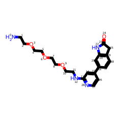 NCCOCCOCCOCCNc1cc(-c2ccc3c(c2)NC(=O)C3)ccn1